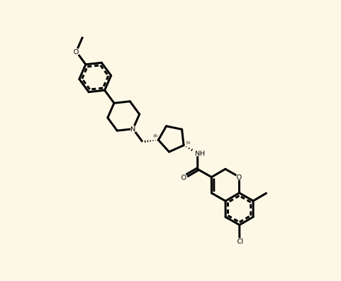 COc1ccc(C2CCN(C[C@@H]3CC[C@H](NC(=O)C4=Cc5cc(Cl)cc(C)c5OC4)C3)CC2)cc1